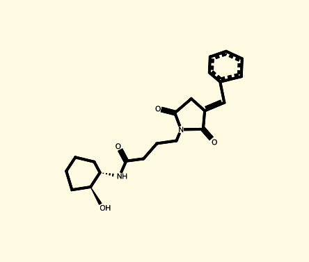 O=C(CCCN1C(=O)C/C(=C\c2ccccc2)C1=O)N[C@H]1CCCC[C@@H]1O